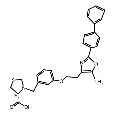 Cc1oc(-c2ccc(-c3ccccc3)cc2)nc1CCOc1cccc(CN2CSC[C@H]2C(=O)O)c1